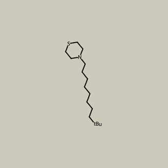 CC(C)(C)CCCCCCCCN1CCSCC1